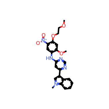 COCCOc1cc(OC)c(Nc2cc(-c3cn(C)c4ccccc34)ncn2)cc1[N+](=O)[O-]